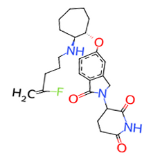 C=C(F)CCCN[C@H]1CCCCC[C@@H]1Oc1ccc2c(c1)CN(C1CCC(=O)NC1=O)C2=O